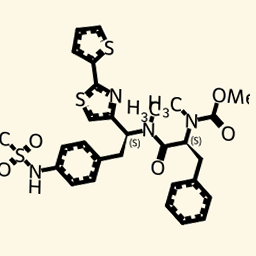 COC(=O)N(C)[C@@H](Cc1ccccc1)C(=O)N(C)[C@@H](Cc1ccc(NS(C)(=O)=O)cc1)c1csc(-c2cccs2)n1